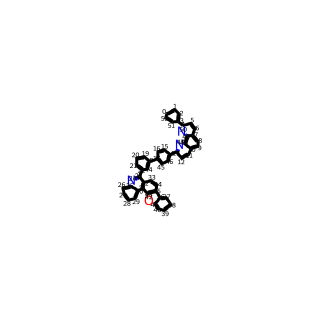 c1ccc(-c2ccc3ccc4ccc(-c5ccc(-c6cccc(-c7nc8ccccc8c8c7ccc7c9ccccc9oc78)c6)cc5)nc4c3n2)cc1